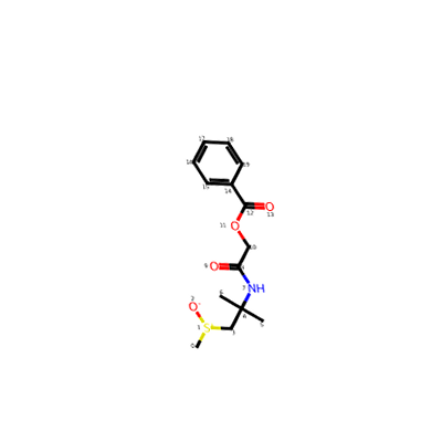 C[S+]([O-])CC(C)(C)NC(=O)COC(=O)c1ccccc1